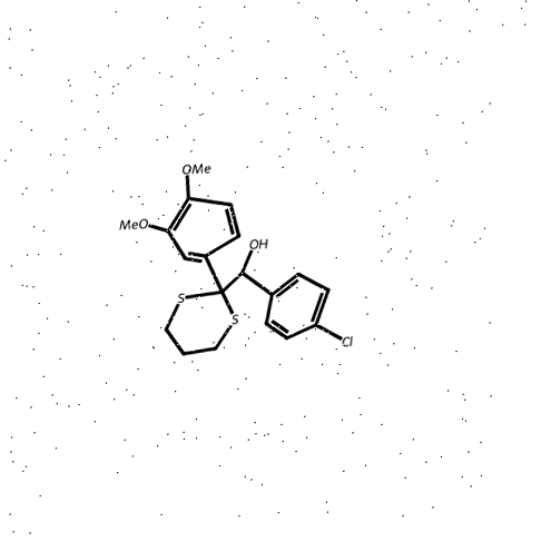 COc1ccc(C2(C(O)c3ccc(Cl)cc3)SCCCS2)cc1OC